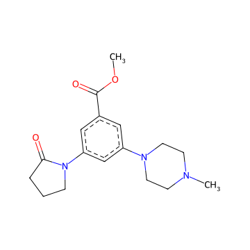 COC(=O)c1cc(N2CCN(C)CC2)cc(N2CCCC2=O)c1